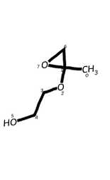 CC1(OCCO)CO1